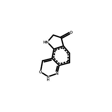 O=C1CNc2c1ccc1c2=CONN=1